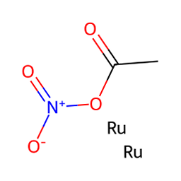 CC(=O)O[N+](=O)[O-].[Ru].[Ru]